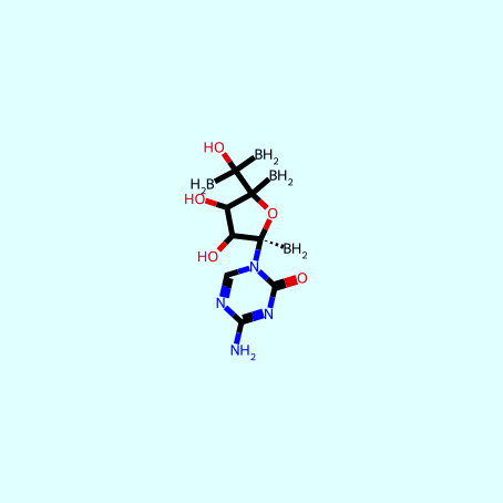 BC(B)(O)C1(B)O[C@@](B)(n2cnc(N)nc2=O)C(O)C1O